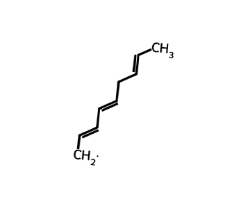 [CH2]/C=C/C=C/C/C=C/C